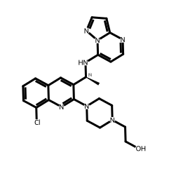 C[C@H](Nc1ccnc2ccnn12)c1cc2cccc(Cl)c2nc1N1CCN(CCO)CC1